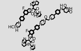 Cl.O=C(Nc1nccs1)C(c1ncn2c1CCC2)N1Cc2c(F)cc(-c3ccc(N4CCNCC4)cc3)cc2C1=O.O=C1CCC(Nc2ccc(C3CCN(CC(=O)N4CCN(c5ccc(-c6cc(F)c7c(c6)C(=O)N(C(C(=O)Nc6nccs6)c6ncn8c6CCC8)C7)cc5)CC4)CC3)cc2)C(=O)N1